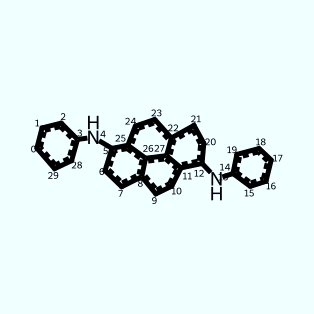 c1ccc(Nc2ccc3ccc4c(Nc5ccccc5)ccc5ccc2c3c54)cc1